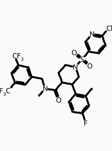 Cc1cc(F)ccc1C1CN(S(=O)(=O)c2ccc(Cl)nc2)CCC1C(=O)N(C)Cc1cc(C(F)(F)F)cc(C(F)(F)F)c1